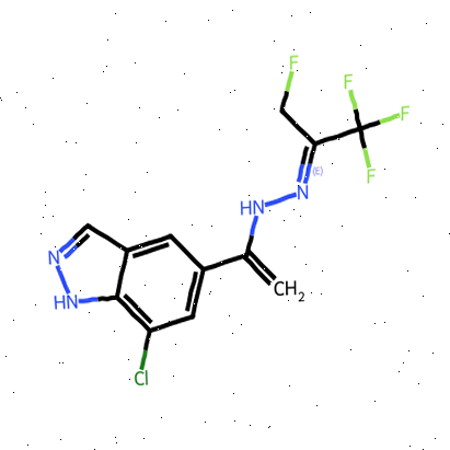 C=C(N/N=C(\CF)C(F)(F)F)c1cc(Cl)c2[nH]ncc2c1